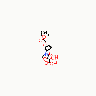 CCOC(=O)COc1cccc(N2CCOC(C(O)C(=O)O)C2=O)c1